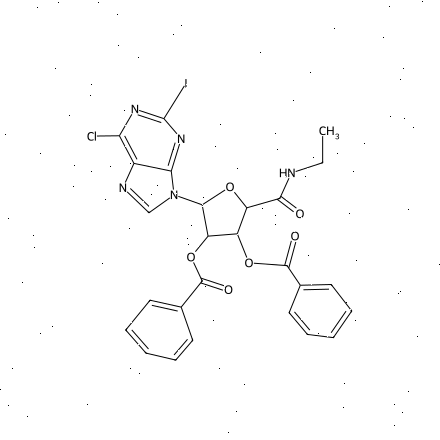 CCNC(=O)C1OC(n2cnc3c(Cl)nc(I)nc32)C(OC(=O)c2ccccc2)C1OC(=O)c1ccccc1